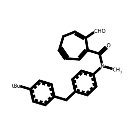 CN(C(=O)C1=CC#CCC=C1C=O)c1ccc(Cc2ccc(C(C)(C)C)cc2)cc1